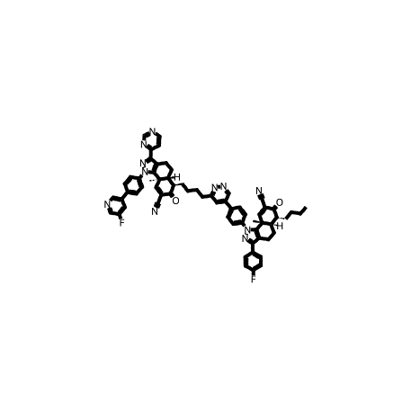 CCCC[C@H]1C(=O)C(C#N)=C[C@@]2(C)c3c(c(-c4ccc(F)cc4)nn3-c3ccc(-c4cnnc(CCCC[C@H]5C(=O)C(C#N)=C[C@@]6(C)c7c(c(-c8ccncn8)nn7-c7ccc(-c8cncc(F)c8)cc7)CC[C@H]56)c4)cc3)CC[C@H]12